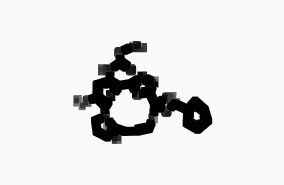 CC(C)(C)OC(=O)Nc1cc(C(F)(F)F)c2nc1-c1nnc(o1)C(OCc1ccccc1)(C(F)(F)F)CC=CC[C@@H]1CCCN21